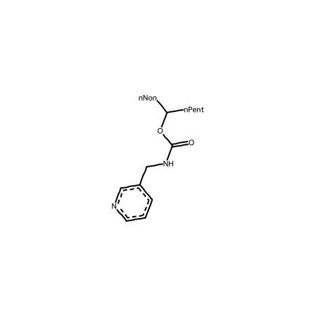 CCCCCCCCCC(CCCCC)OC(=O)NCc1cccnc1